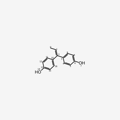 CC=C(c1ccc(O)cc1)c1ccc(O)cc1